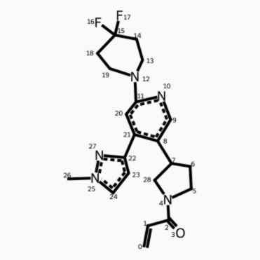 C=CC(=O)N1CCC(c2cnc(N3CCC(F)(F)CC3)cc2-c2ccn(C)n2)C1